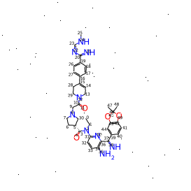 CCN(C(=O)[C@@H]1CCN(CC(=O)N2CC=C(c3ccc(C(=N)/N=C\NC)cc3)CC2)C1)c1ccc(N)c(C(=N)c2ccc3c(c2)OC(C)(C)O3)n1